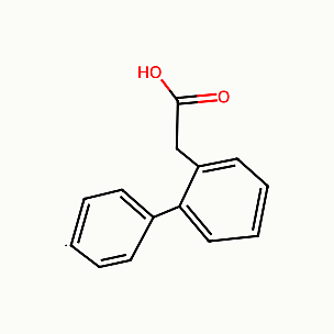 O=C(O)Cc1ccccc1-c1cc[c]cc1